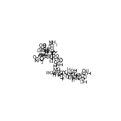 CC[C@H](C)[C@H](NC(=O)[C@H](CC(N)=O)NC(=O)[C@@H](NC(=O)[C@@H](N)CCC(N)=O)[C@@H](C)O)C(=O)N[C@@H](Cc1c[nH]c2ccccc12)C(=O)NCC(=O)N1CCC[C@H]1C(=O)NCC(=O)N[C@H](C(=O)N[C@@H](CC(C)C)C(=O)N[C@H](C(=O)N[C@H](C(=O)N[C@H](C(=O)N[C@@H](CO)C(=O)N[C@@H](CO)C(=O)O)C(C)C)[C@@H](C)O)C(C)C)[C@@H](C)O